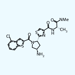 CNC(=O)[C@H](C)NC(=O)c1csc([C@@H]2C[C@@H](N)CN2C(=O)c2cc3c(Cl)cccc3s2)n1